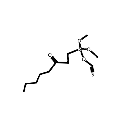 CCCCCC(=O)CC[Si](OC)(OC)OC=S